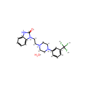 O.O=c1[nH]c2ccccc2n1CCN1CCN(c2cccc(C(F)(F)F)c2)CC1